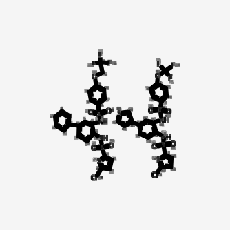 O=S(=O)(Nc1cc(-c2ccccc2)ccc1NS(=O)(=O)c1ccc(Cl)s1)c1ccc(OCC(F)(F)F)cc1.O=S(=O)(Nc1cc(-c2ccsc2)ccc1NS(=O)(=O)c1ccc(Cl)s1)c1ccc(OC(F)(F)F)cc1